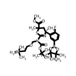 COC(=O)C1(C)C[C@@](C)(c2cc(B3OC(C)(C)C(C)(C)O3)ccc2F)N=C(N(COCC[Si](C)(C)C)C(=O)OC(C)(C)C)S1